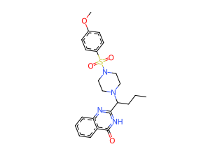 CCCC(c1nc2ccccc2c(=O)[nH]1)N1CCN(S(=O)(=O)c2ccc(OC)cc2)CC1